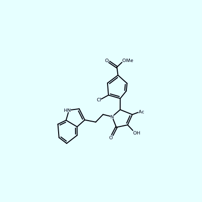 COC(=O)c1ccc(C2C(C(C)=O)=C(O)C(=O)N2CCc2c[nH]c3ccccc23)c(Cl)c1